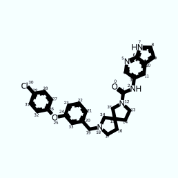 O=C(Nc1cnc2[nH]ccc2c1)N1CCC2(CCN(Cc3cccc(Oc4ccc(Cl)cc4)c3)C2)C1